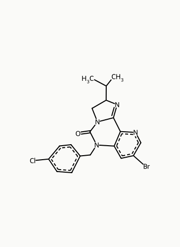 CC(C)C1CN2C(=O)N(Cc3ccc(Cl)cc3)c3cc(Br)cnc3C2=N1